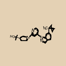 CC(C)(O)[C@@H]1CCN(c2cc(-n3ncc4ccc([C@@]5(C#N)CC56CC6)cc43)ccn2)C1